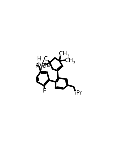 COc1ccc(F)c(-c2ccc(CC(C)C)cc2C2=CC(C)(C)CC(C)(C)C2)c1